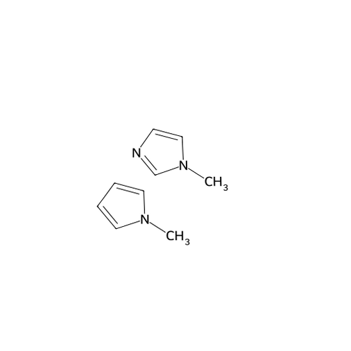 Cn1cccc1.Cn1ccnc1